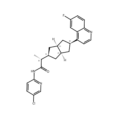 C[C@@H](C(=O)Nc1ccc(Cl)cn1)[C@H]1C[C@H]2C[C@@H](c3ccnc4ccc(F)cc34)C[C@H]2C1